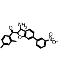 Cc1ccc(C(=O)C2Oc3cc(-c4cccc([N+](=O)[O-])c4)ccc3C2N)c(C)c1